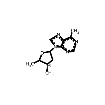 Cc1ncnc2c1ncn2C1C[C@@H](C)C(C)O1